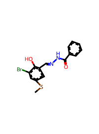 CSc1cc(Br)c(O)c(/C=N/NC(=O)c2ccccc2)c1